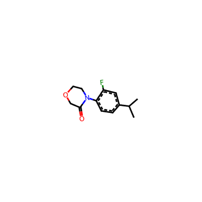 CC(C)c1ccc(N2CCOCC2=O)c(F)c1